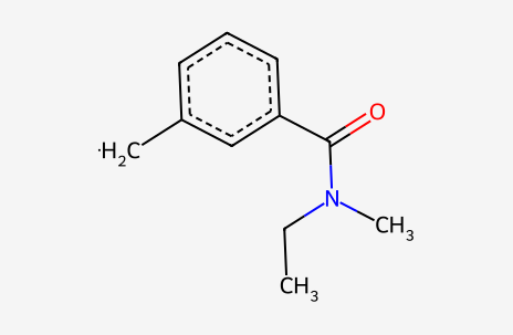 [CH2]c1cccc(C(=O)N(C)CC)c1